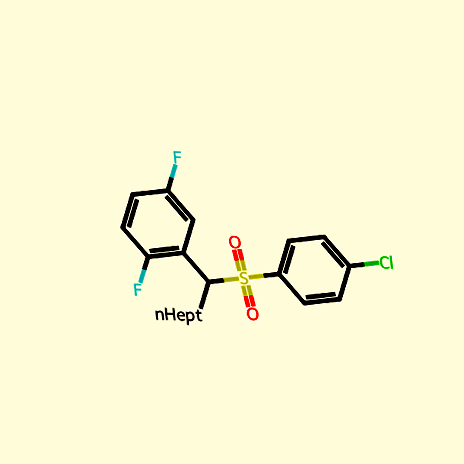 CCCCCCCC(c1cc(F)ccc1F)S(=O)(=O)c1ccc(Cl)cc1